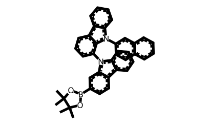 CC1(C)OB(c2ccc3c4ccccc4n(-c4cccc5c6ccccc6n(-c6ccc7ccccc7c6)c45)c3c2)OC1(C)C